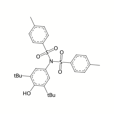 Cc1ccc(S(=O)(=O)N(c2cc(C(C)(C)C)c(O)c(C(C)(C)C)c2)S(=O)(=O)c2ccc(C)cc2)cc1